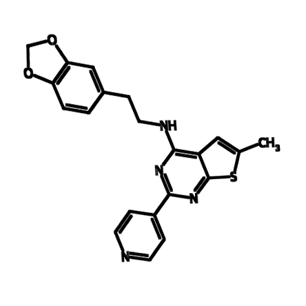 Cc1cc2c(NCCc3ccc4c(c3)OCO4)nc(-c3ccncc3)nc2s1